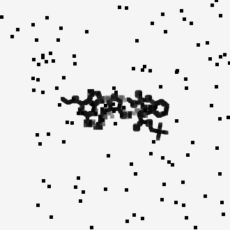 CCOc1nc(N)nc2c1ncn2[C@@H]1O[C@H](COP(=O)(N[C@@H](C)C(=O)OCC(C)(C)C)Oc2ccccc2Cl)[C@@H](O)[C@@]1(C)N=[N+]=[N-]